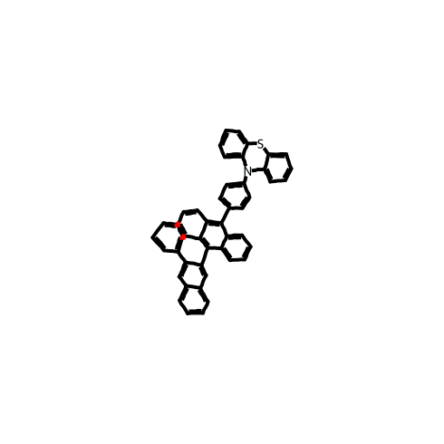 c1ccc(-c2cc3ccccc3cc2-c2c3ccccc3c(-c3ccc(N4c5ccccc5Sc5ccccc54)cc3)c3ccccc23)cc1